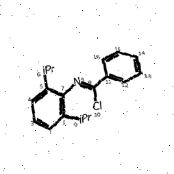 CC(C)c1cccc(C(C)C)c1/N=C(\Cl)c1ccccc1